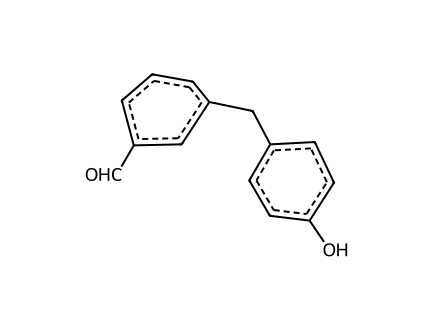 O=Cc1cccc(Cc2ccc(O)cc2)c1